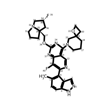 Cc1ccc2[nH]ncc2c1-c1ncc2c(N3CCCC4(CCO4)C3)nc(OC[C@@]34CCCN3C[C@H](F)C4)nc2c1F